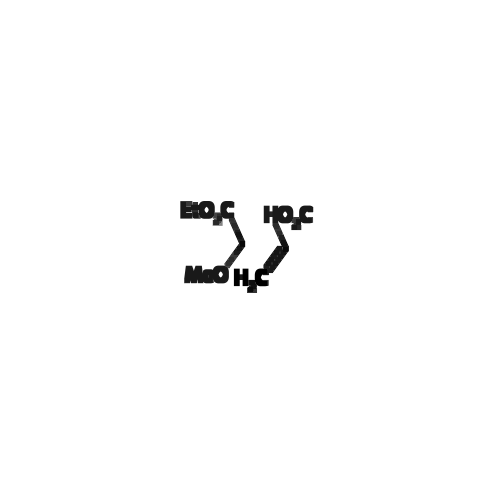 C=CC(=O)O.CCOC(=O)COC